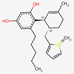 C=S1C=CC=C1C[C@H]1CCC(C)=C[C@@H]1c1c(O)cc(O)cc1CCCCC